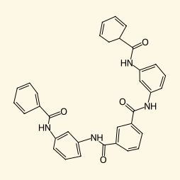 O=C(Nc1cccc(NC(=O)c2cccc(C(=O)Nc3cccc(NC(=O)C4C=CC=CC4)c3)c2)c1)c1ccccc1